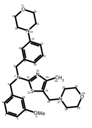 COc1cccc(CN(Cc2cccc(N3CCOCC3)c2)c2nc(C)c(CN3CCOCC3)s2)c1